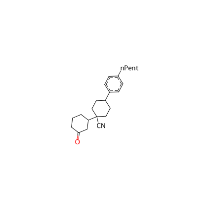 CCCCCc1ccc(C2CCC(C#N)(C3CCCC(=O)C3)CC2)cc1